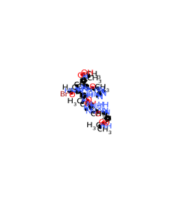 CC(C)N(C(=O)O)[C@@H]1CC[C@H](c2cc(NC(=O)CBr)n(C(C)(C)C)n2)C1.CC(C)N(C(=O)O)[C@H]1CC[C@@H](c2cc(NC(=O)CN(C)c3ncnc4nc[nH]c34)[nH]n2)C1.CC(C)NC(=O)O[C@@H]1CC[C@H](c2cc(NC(=O)CN(C)c3ncnc4nc[nH]c34)[nH]n2)C1